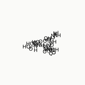 O=C(O)CCC(NC(=O)NC(CCCCNC(=O)C(Cc1ccc2ccccc2c1)NC(=O)C(CC(=O)O)NC(=O)C(CCC(=O)O)NC(=O)c1ccc(N/N=C\I)nc1)C(=O)O)C(=O)O